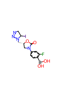 O=C1O[C@@H](CN2N=NCC2I)CN1c1ccc(B(O)O)c(F)c1